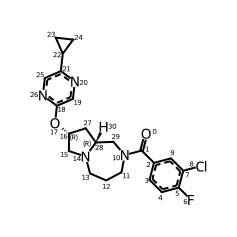 O=C(c1ccc(F)c(Cl)c1)N1CCCN2C[C@H](Oc3cnc(C4CC4)cn3)C[C@@H]2C1